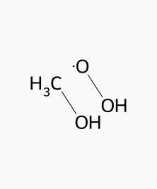 CO.[O]O